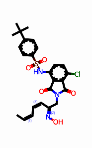 C\C=C/C=C\C(CN1C(=O)c2c(Cl)ccc(NS(=O)(=O)c3ccc(C(C)(C)C)cc3)c2C1=O)=N\O